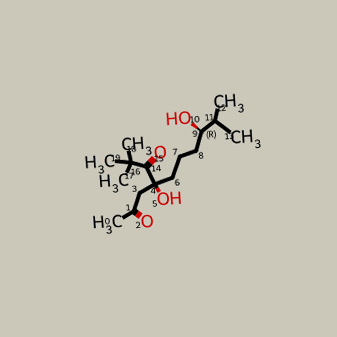 CC(=O)CC(O)(CCC[C@@H](O)C(C)C)C(=O)C(C)(C)C